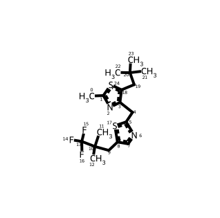 Cc1nc(Cc2ncc(CC(C)(C)C(F)(F)F)s2)c(CC(C)(C)C)s1